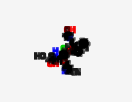 CC(CO)(NCc1cc(Cl)c(OCC2(OCCCN3CC[C@@H](O)C3)C=CC=C(c3ccccc3)C2(C)C(F)(F)F)cc1OCc1cncc(C#N)c1)C(=O)O